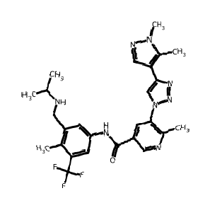 Cc1ncc(C(=O)Nc2cc(CNC(C)C)c(C)c(C(F)(F)F)c2)cc1-n1cc(-c2cnn(C)c2C)nn1